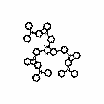 c1ccc(N(c2ccccc2)c2ccc3c(c2)c2ccccc2n3-c2cccc(-c3ccc4nc(-c5cccc(-n6c7ccccc7c7cc(N(c8ccccc8)c8ccccc8)ccc76)c5)nc(-c5cccc(-n6c7ccccc7c7cc(N(c8ccccc8)c8ccccc8)ccc76)c5)c4c3)c2)cc1